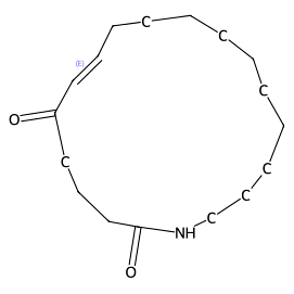 O=C1/C=C/CCCCCCCCCCNC(=O)CCC1